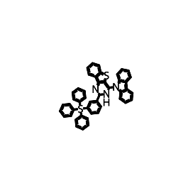 c1ccc(S(c2ccccc2)(c2ccccc2)c2cccc(C3N=c4c(sc5ccccc45)=C(n4c5ccccc5c5ccccc54)N3)c2)cc1